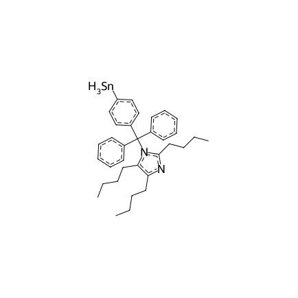 CCCCc1nc(CCCC)n(C(c2ccccc2)(c2ccccc2)c2cc[c]([SnH3])cc2)c1CCCC